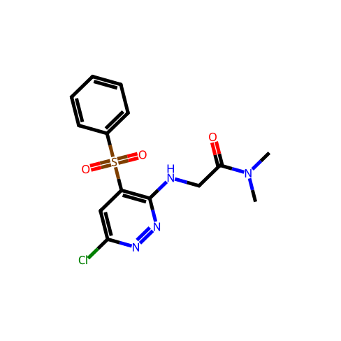 CN(C)C(=O)CNc1nnc(Cl)cc1S(=O)(=O)c1ccccc1